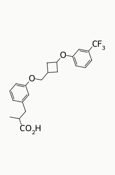 CC(Cc1cccc(OCC2CC(Oc3cccc(C(F)(F)F)c3)C2)c1)C(=O)O